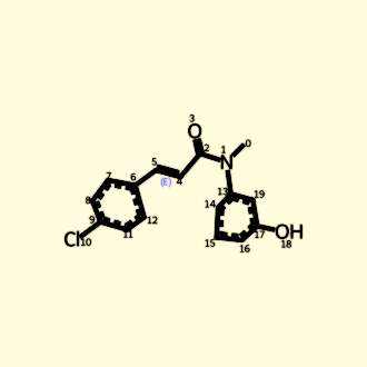 CN(C(=O)/C=C/c1ccc(Cl)cc1)c1cccc(O)c1